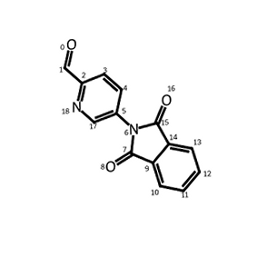 O=Cc1ccc(N2C(=O)c3ccccc3C2=O)cn1